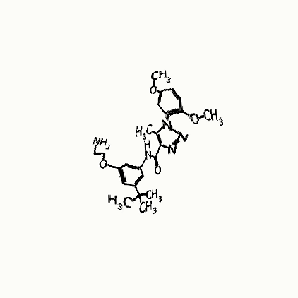 COc1ccc(OC)c(-n2nnc(C(=O)Nc3cc(OCCN)cc(C(C)(C)C)c3)c2C)c1